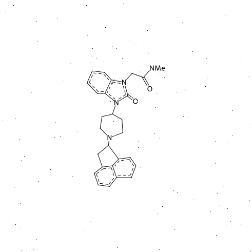 CNC(=O)Cn1c(=O)n(C2CCN(C3Cc4cccc5cccc3c45)CC2)c2ccccc21